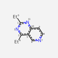 CCc1nc(CC)c2cnccc2n1